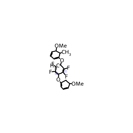 COC1C=CC=C(OC(=C(\F)CF)/C(F)=C(/F)C(C)OC2=CC=CC(OC)C2C)C1